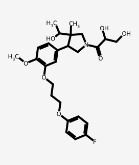 COc1ccc(C2CN(C(=O)C(O)CO)CC2(C)C(C)O)cc1OCCCOc1ccc(F)cc1